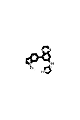 Cn1ccc2ccc(-c3cc(N[C@H]4CCNC4)cc4nccnc34)cc21